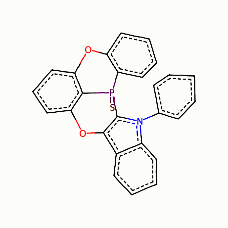 S=P12c3ccccc3Oc3cccc(c31)Oc1c2n(-c2ccccc2)c2ccccc12